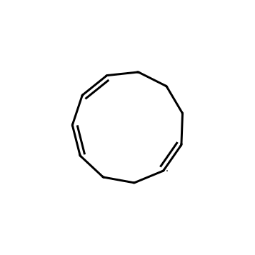 [C]1=C\CCC/C=C\C=C/CC/1